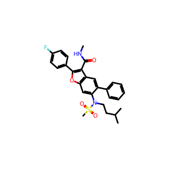 CNC(=O)c1c(-c2ccc(F)cc2)oc2cc(N(CCC(C)C)S(C)(=O)=O)c(-c3ccccc3)cc12